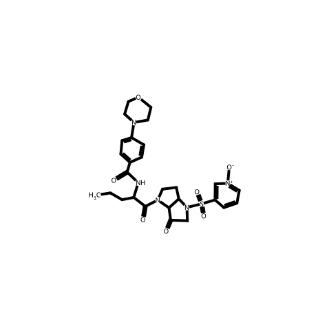 CCCC(NC(=O)c1ccc(N2CCOCC2)cc1)C(=O)N1CCC2C1C(=O)CN2S(=O)(=O)c1ccc[n+]([O-])c1